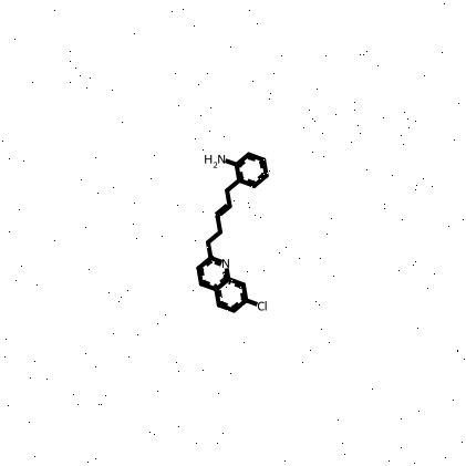 Nc1ccccc1C/C=C/CCc1ccc2ccc(Cl)cc2n1